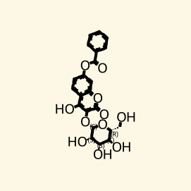 O=C(Oc1ccc2c(O)c(O[C@@H]3O[C@H](CO)[C@@H](O)[C@H](O)[C@@H]3O)c(=O)oc2c1)c1ccccc1